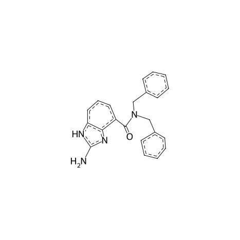 Nc1nc2c(C(=O)N(Cc3ccccc3)Cc3ccccc3)cccc2[nH]1